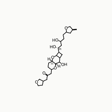 C=C1COC(CCC(O)C[C@@H](O)C2CC3C2O[C@H]2CCC(CC(=O)CC4CCOC4)O[C@@H]2C3O)C1